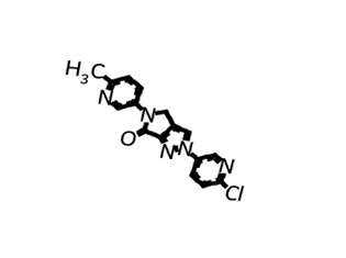 Cc1ccc(N2Cc3cn(-c4ccc(Cl)nc4)nc3C2=O)cn1